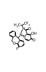 CC(N1CN(C2c3ccccc3COc3c(F)cccc32)n2ccc(=O)c(O)c2C1=O)C(F)(F)F